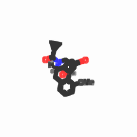 COc1cccc2c1[C@]13CCN(C(=O)C4CC4)[C@H](C2)C1(O)CCC(=O)C3